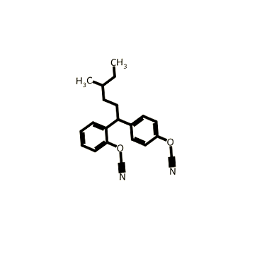 CCC(C)CCC(c1ccc(OC#N)cc1)c1ccccc1OC#N